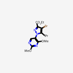 CCOC(=O)c1nn(-c2cnc(OC)nc2OC)c(C(C)C)c1Br